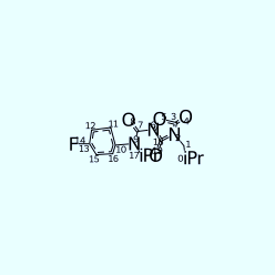 CC(C)Cn1c(=O)on(C(=O)N(c2ccc(F)cc2)C(C)C)c1=O